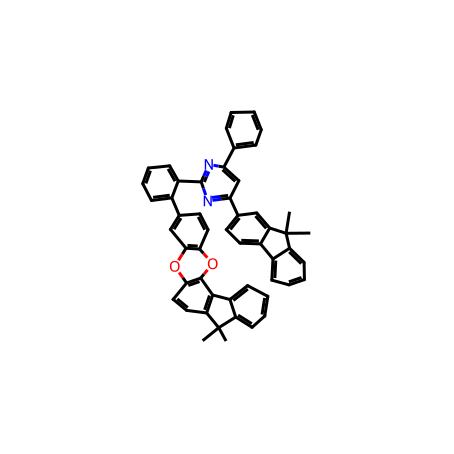 CC1(C)c2ccccc2-c2ccc(-c3cc(-c4ccccc4)nc(-c4ccccc4-c4ccc5c(c4)Oc4ccc6c(c4O5)-c4ccccc4C6(C)C)n3)cc21